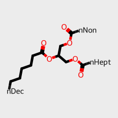 CCCCCCCCCCCCCCCC(=O)OC(COC(=O)CCCCCCC)COC(=O)CCCCCCCCC